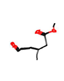 COC(=O)CC(C)CC=O